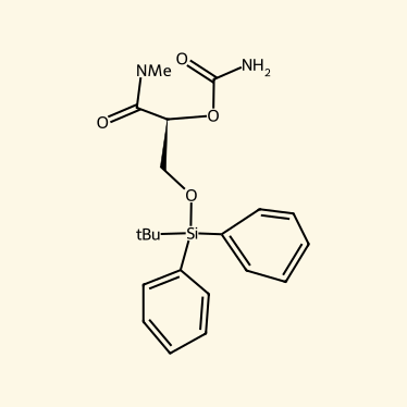 CNC(=O)[C@H](CO[Si](c1ccccc1)(c1ccccc1)C(C)(C)C)OC(N)=O